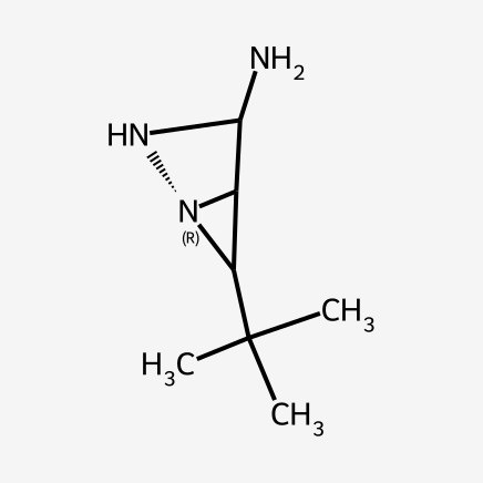 CC(C)(C)C1C2C(N)N[N@]21